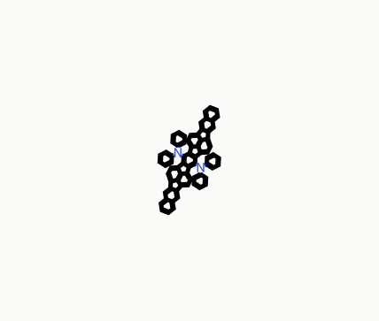 c1ccc(N(c2ccccc2)c2c3c4ccc5c6c(ccc(c3c(N(c3ccccc3)c3ccccc3)c3c7ccc8c9c(ccc(c23)c97)-c2cc3ccccc3cc2-8)c64)-c2cc3ccccc3cc2-5)cc1